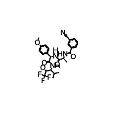 COc1ccc([C@H](NC(=O)[C@H](C)NC(=O)c2cccc(C#N)c2)C(=O)N[C@H](C(=O)C(F)(F)F)C(C)C)cc1